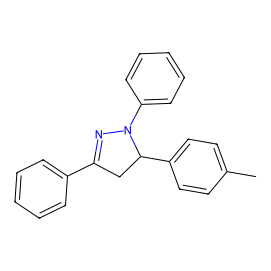 Cc1ccc(C2CC(c3ccccc3)=NN2c2ccccc2)cc1